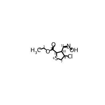 CCOC(=O)C1SCC(Cl)C1/C=N\O